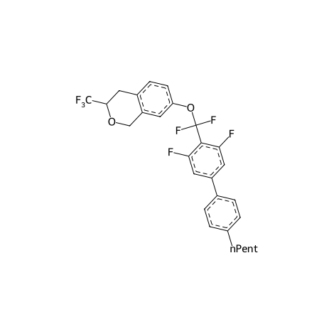 CCCCCc1ccc(-c2cc(F)c(C(F)(F)Oc3ccc4c(c3)COC(C(F)(F)F)C4)c(F)c2)cc1